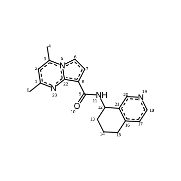 Cc1cc(C)n2ccc(C(=O)NC3CCCc4ccncc43)c2n1